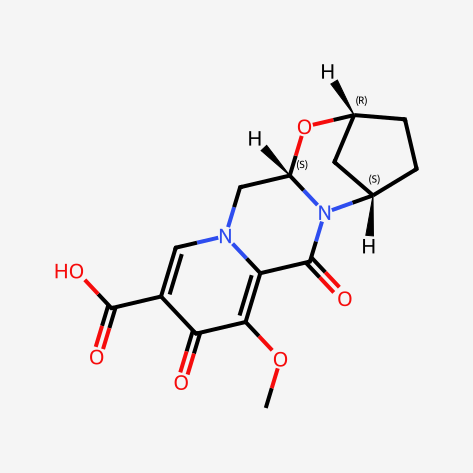 COc1c2n(cc(C(=O)O)c1=O)C[C@@H]1O[C@@H]3CC[C@@H](C3)N1C2=O